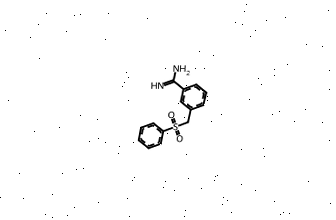 N=C(N)c1cccc(CS(=O)(=O)c2ccccc2)c1